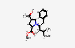 CCC[C@@H](C(C)NC(C)=O)[C@H](Cc1ccccc1)N1CC(C(=O)CC)CC1C(=O)OC(C)(C)C